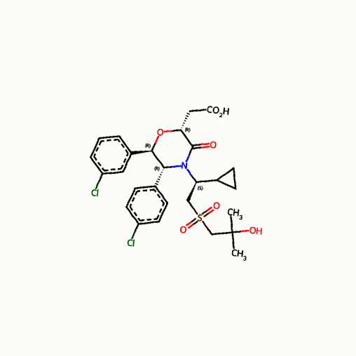 CC(C)(O)CS(=O)(=O)C[C@H](C1CC1)N1C(=O)[C@@H](CC(=O)O)O[C@H](c2cccc(Cl)c2)[C@H]1c1ccc(Cl)cc1